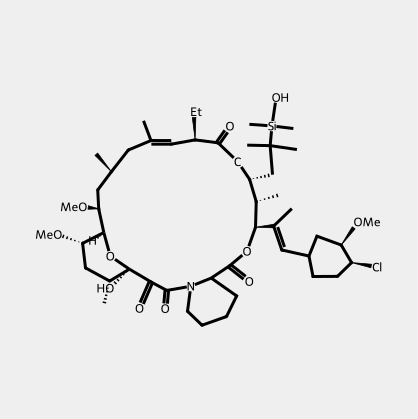 CC[C@@H]1/C=C(\C)C[C@H](C)C[C@H](OC)[C@H]2O[C@@](O)(C(=O)C(=O)N3CCCCC3C(=O)O[C@H](/C(C)=C/C3CC[C@H](Cl)[C@H](OC)C3)[C@@H](C)[C@@H](CC(C)(C)[Si](C)(C)O)CC1=O)[C@H](C)C[C@@H]2OC